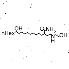 CCCCCCC(O)CCCCCCCCCC(CCNCCO)C(N)=O